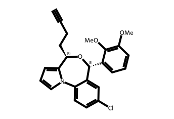 C#CCC[C@H]1O[C@H](c2cccc(OC)c2OC)c2cc(Cl)ccc2-n2cccc21